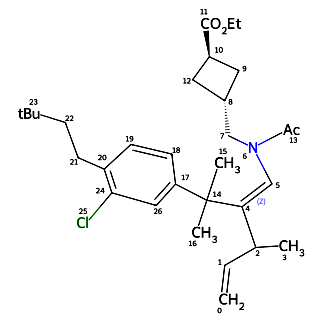 C=CC(C)/C(=C/N(C[C@H]1C[C@H](C(=O)OCC)C1)C(C)=O)C(C)(C)c1ccc(CCC(C)(C)C)c(Cl)c1